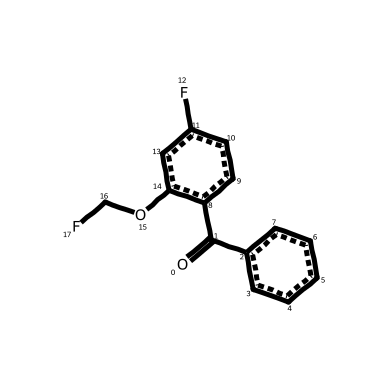 O=C(c1ccccc1)c1ccc(F)cc1OCF